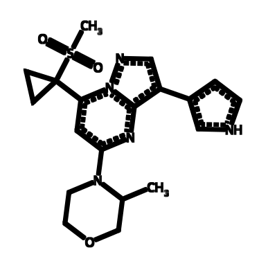 CC1COCCN1c1cc(C2(S(C)(=O)=O)CC2)n2ncc(-c3cc[nH]c3)c2n1